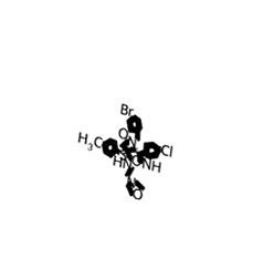 Cc1ccc(S[C@]2(C(=O)NCCN3CCOCC3)CC(=O)N(Cc3ccc(Br)cc3)[C@@H]2c2c[nH]c3cc(Cl)ccc23)cc1